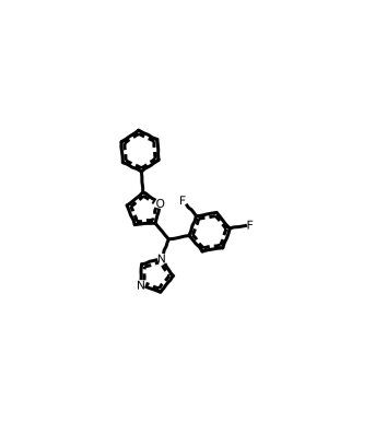 Fc1ccc(C(c2ccc(-c3ccccc3)o2)n2ccnc2)c(F)c1